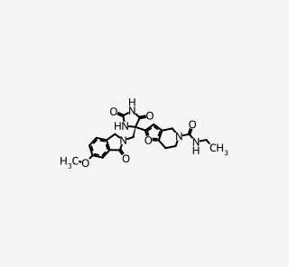 CCNC(=O)N1CCc2oc([C@]3(CN4Cc5ccc(OC)cc5C4=O)NC(=O)NC3=O)cc2C1